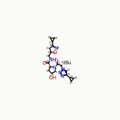 CC(C)(C)[C@@H](C(=O)N1C[C@H](O)C[C@H]1C(=O)NCC1CC(C2CC2)=NO1)n1cc(C2CC2)nn1